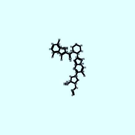 C=NC[C@@H]1CN(c2nc3cc([C@@H]4CCCCN4C(=O)c4[nH]c5c(C)ccc(C)c5c4C)nn3cc2C)C[C@@H]1O